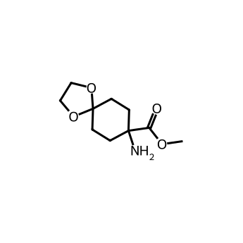 COC(=O)C1(N)CCC2(CC1)OCCO2